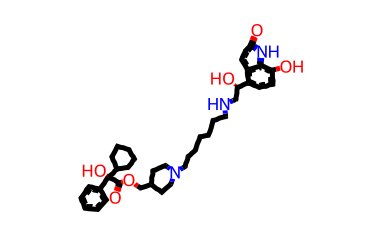 O=C(OCC1CCN(CCCCCCCNC[C@@H](O)c2ccc(O)c3[nH]c(=O)ccc23)CC1)C(O)(c1ccccc1)C1CCCCC1